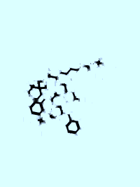 CC(C)C[C@@H](NC(=O)[C@@H](Cc1ccccc1)NC(=O)[C@@H](Cc1ccccc1)NC(=O)OC(C)(C)C)C(=O)N[C@H](CCCCNC(=O)OC(C)(C)C)C(=O)N1CC2(CCNCC2(F)F)C1